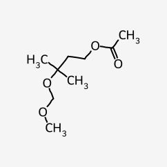 COCOC(C)(C)CCOC(C)=O